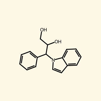 OCC(O)C(c1ccccc1)n1ccc2ccccc21